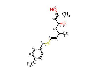 CC[C@@H](/C=C/SCc1ccc(C(F)(F)F)cc1)CC(=O)/C=C(\C)O